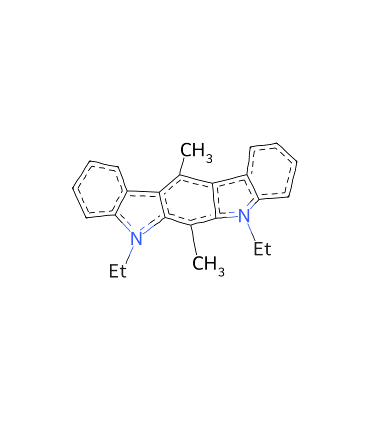 CCn1c2ccccc2c2c(C)c3c4ccccc4n(CC)c3c(C)c21